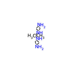 CC(C)(CNc1ccc(N)cc1)CNc1ccc(N)cc1